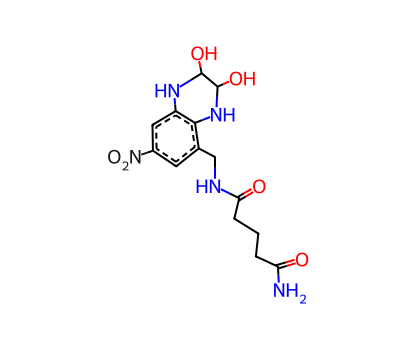 NC(=O)CCCC(=O)NCc1cc([N+](=O)[O-])cc2c1NC(O)C(O)N2